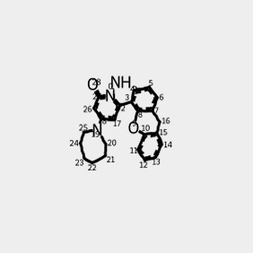 Nn1c(-c2cccc3c2Oc2ccccc2C3)cc(N2CCCCCC2)cc1=O